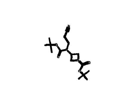 CC(C)(C)OC(=O)N1CC(N(CCC#N)C(=O)OC(C)(C)C)C1